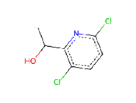 [CH2]C(O)c1nc(Cl)ccc1Cl